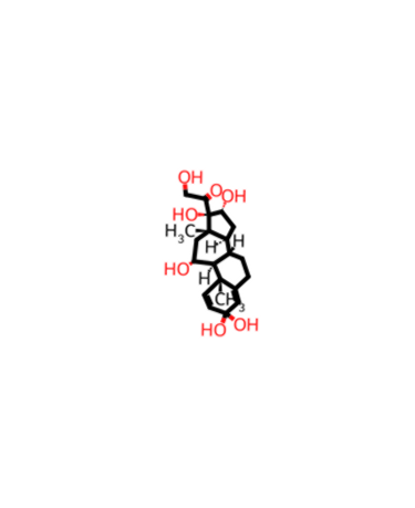 C[C@]12C=CC(O)(O)C=C1CC[C@@H]1[C@@H]2[C@@H](O)C[C@@]2(C)[C@H]1C[C@@H](O)[C@@]2(O)C(=O)CO